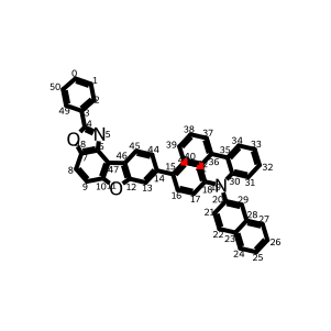 c1ccc(-c2nc3c(ccc4oc5cc(-c6ccc(N(c7ccc8ccccc8c7)c7ccccc7-c7ccccc7)cc6)ccc5c43)o2)cc1